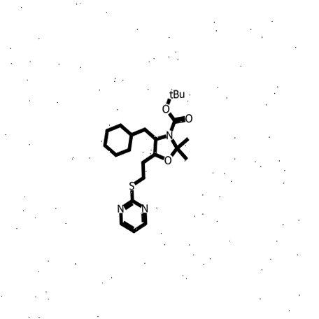 CC(C)(C)OC(=O)N1C(CC2CCCCC2)C(CCSc2ncccn2)OC1(C)C